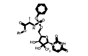 CC(C)OC(=O)[C@H](C)NP(=O)(OC[C@H]1O[C@@H](n2ccc(=S)[nH]c2=O)C(O)(C(F)(F)F)[C@H]1O)Oc1ccccc1